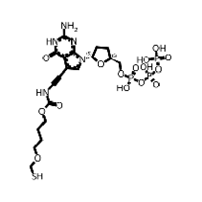 Nc1nc2c(c(C#CNC(=O)OCCCCOCS)cn2[C@@H]2CC[C@@H](COP(=O)(O)OP(=O)(O)OP(=O)(O)O)O2)c(=O)[nH]1